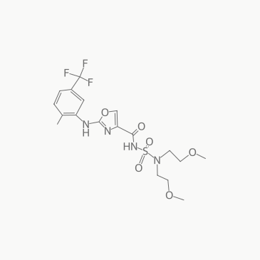 COCCN(CCOC)S(=O)(=O)NC(=O)c1coc(Nc2cc(C(F)(F)F)ccc2C)n1